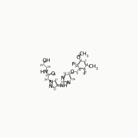 COc1cc(C)c(F)c(COc2cnc(Nc3cnn(CC(=O)NCCO)c3)nc2)c1F